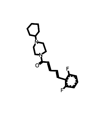 O=C(/C=C/C=C/c1c(F)cccc1F)N1CCN(C2CCCCC2)CC1